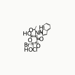 CC(=O)N[C@@H]1[C@@H](Oc2cc3ccccc3[nH]2)[C@H](OCl)[C@@](Br)(CO)O[C@H]1O